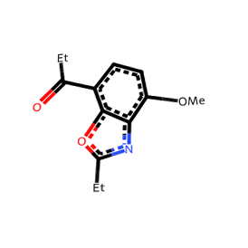 CCC(=O)c1ccc(OC)c2nc(CC)oc12